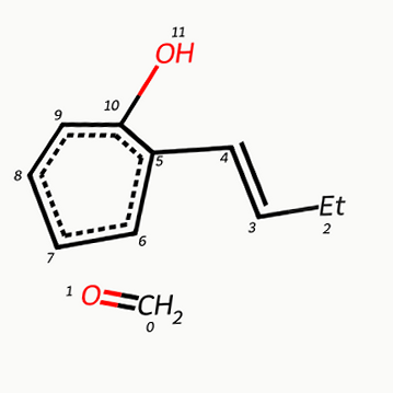 C=O.CCC=Cc1ccccc1O